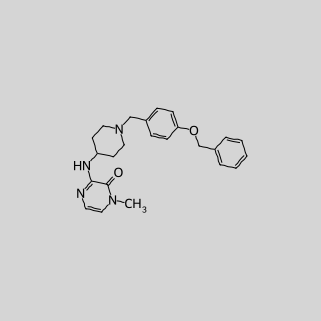 Cn1ccnc(NC2CCN(Cc3ccc(OCc4ccccc4)cc3)CC2)c1=O